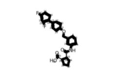 O=C(Nc1cccc(COc2ccc(-c3ccc(F)cc3F)cc2)c1)[C@H]1CCC[C@H]1C(=O)O